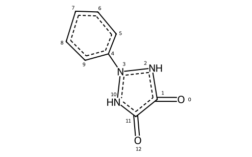 O=c1[nH]n(-c2ccccc2)[nH]c1=O